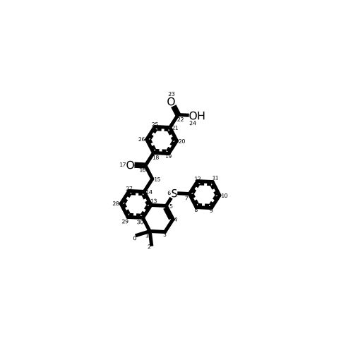 CC1(C)CC=C(Sc2ccccc2)c2c(CC(=O)c3ccc(C(=O)O)cc3)cccc21